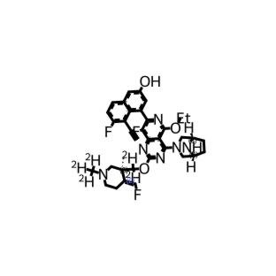 [2H]C([2H])([2H])N1CC/C(=C\F)[C@](C)(C([2H])([2H])Oc2nc(N3C[C@H]4CC[C@@H](C3)N4)c3c(OCC)nc(-c4cc(O)cc5ccc(F)c(C#C)c45)c(F)c3n2)C1